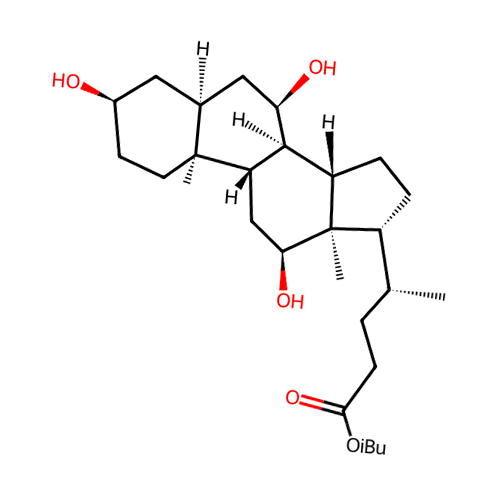 CC(C)COC(=O)CC[C@@H](C)[C@H]1CC[C@H]2[C@@H]3[C@H](O)C[C@@H]4C[C@H](O)CC[C@]4(C)[C@H]3C[C@H](O)[C@]12C